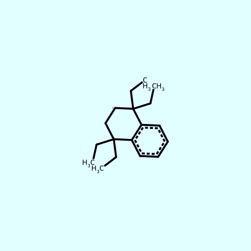 CCC1(CC)[C]CC(CC)(CC)c2ccccc21